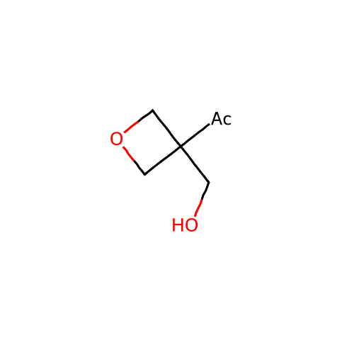 CC(=O)C1(CO)COC1